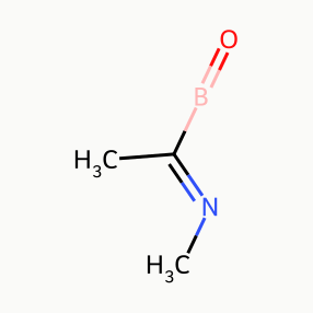 CN=C(C)B=O